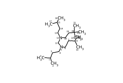 CC(C)CCN(CCC(C)C)CN(CCC(C)C)CCC(C)(C)C